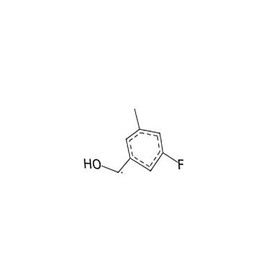 Cc1cc(F)cc([CH]O)c1